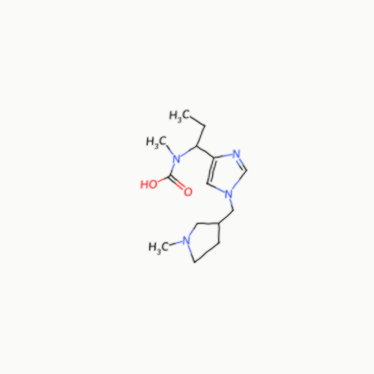 CCC(c1cn(CC2CCN(C)C2)cn1)N(C)C(=O)O